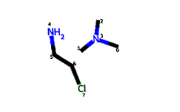 CN(C)C.NCCCl